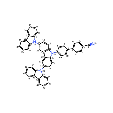 N#Cc1ccc(-c2ccc(-n3c4ccc(-n5c6ccccc6c6ccccc65)cc4c4cc(-n5c6ccccc6c6ccccc65)ccc43)cc2)cc1